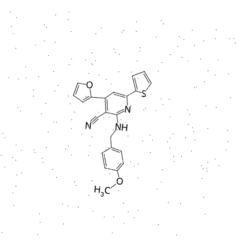 COc1ccc(CNc2nc(-c3cccs3)cc(-c3ccco3)c2C#N)cc1